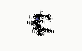 COc1cc(Nc2nc(Cl)nc(Nc3cc(S(=O)(=O)CCOS(=O)(=O)O)cc(S(=O)(=O)O)c3O)n2)c(S(=O)(=O)O)cc1/N=N/c1cc(NC(=O)CCCS(=O)(=O)CCCl)ccc1S(=O)(=O)O